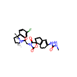 CNC(=O)Nc1ccc2c(c1)CCC21OC(=O)N(CC(=O)N2[C@H](C)CC[C@]2(C)c2ccc(F)cc2)C1=O